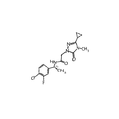 C[C@H](NC(=O)Cn1nc(C2CC2)n(C)c1=O)c1ccc(Cl)c(F)c1